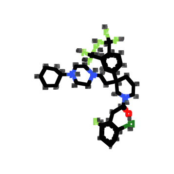 O=C(Cc1c(F)cccc1Cl)N1CCCC(CCN2CCN(C3CCCCC3)CC2)(c2ccc(C(F)(F)F)c(C(F)(F)F)c2)C1